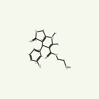 COCCOC(=O)C1=C(C)N(C)C2=C(C(=O)OC2)C1c1cccc(Cl)c1